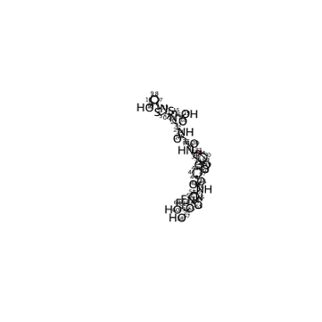 CC1([C@H]2CSC(c3ccccc3O)=N2)SC[C@@H](C(=O)O)N1CCCNC(=O)CCC(=O)NC12CC3CC(C1)C1(OO[C@@]4(CCCC(OC(=O)Nc5ccn([C@@H]6O[C@H](CO)[C@@H](O)C6(F)F)c(=O)n5)C4)O1)C(C3)C2